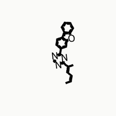 C/C=C\C=C(/C)c1ncnc(-c2ccc3c(c2)oc2ccccc23)n1